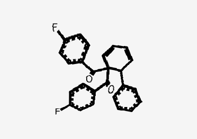 O=C(c1ccc(F)cc1)C1(C(=O)c2ccc(F)cc2)C=CC=CC1c1ccccc1